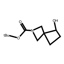 CC(C)(C)OC(=O)N1CC2(CCC2O)C1